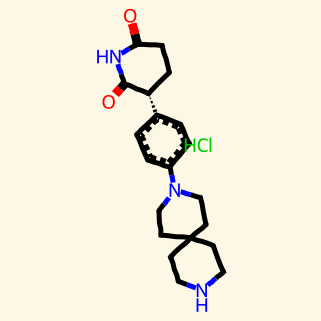 Cl.O=C1CC[C@H](c2ccc(N3CCC4(CCNCC4)CC3)cc2)C(=O)N1